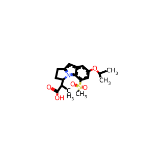 CC(C)Oc1cc(S(C)(=O)=O)c2c(c1)cc1n2C(C(C)C(=O)O)CC1